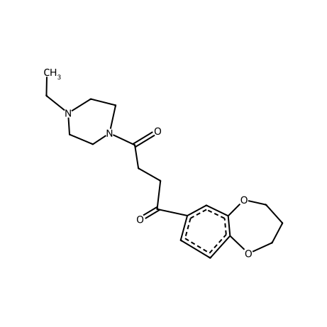 CCN1CCN(C(=O)CCC(=O)c2ccc3c(c2)OCCCO3)CC1